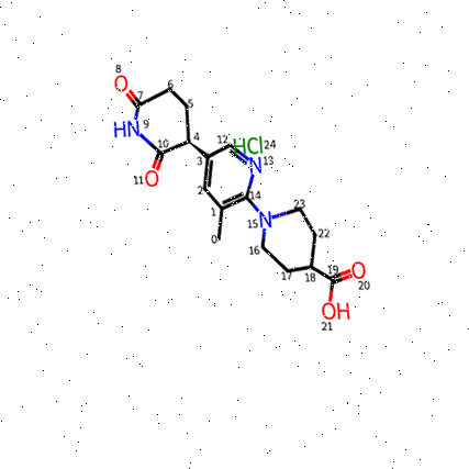 Cc1cc([C@@H]2CCC(=O)NC2=O)cnc1N1CCC(C(=O)O)CC1.Cl